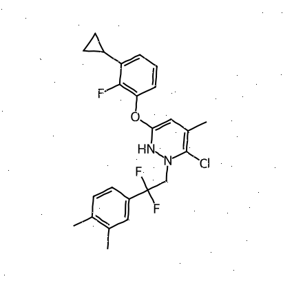 CC1=C(Cl)N(CC(F)(F)c2ccc(C)c(C)c2)NC(Oc2cccc(C3CC3)c2F)=C1